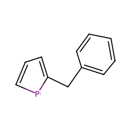 C1=C[P]C(Cc2ccccc2)=C1